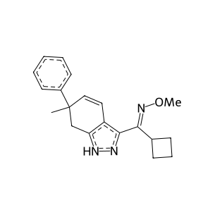 CON=C(c1n[nH]c2c1C=CC(C)(c1ccccc1)C2)C1CCC1